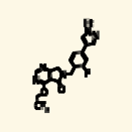 CCn1cc(-c2ccc(CN3Cc4ncnc(OCC(F)(F)F)c4C3=O)c(F)c2)cn1